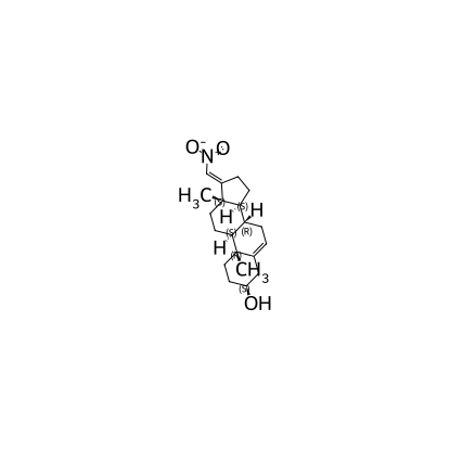 C[C@]12CC[C@H](O)CC1=CC[C@@H]1[C@@H]2CC[C@]2(C)C(=C[N+](=O)[O-])CC[C@@H]12